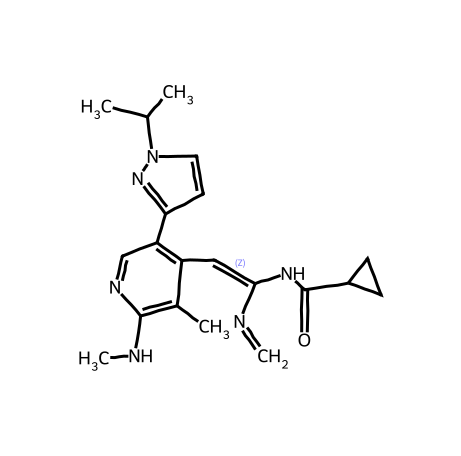 C=N/C(=C\c1c(-c2ccn(C(C)C)n2)cnc(NC)c1C)NC(=O)C1CC1